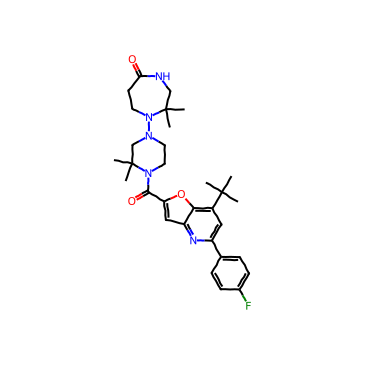 CC(C)(C)c1cc(-c2ccc(F)cc2)nc2cc(C(=O)N3CCN(N4CCC(=O)NCC4(C)C)CC3(C)C)oc12